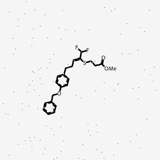 COC(=O)CCSC(=CCCc1ccc(OCc2ccccc2)cc1)C(F)F